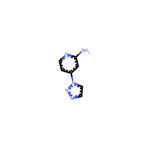 Nc1cc(-n2ccnn2)ccn1